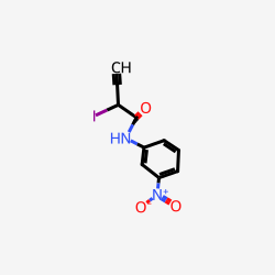 C#CC(I)C(=O)Nc1cccc([N+](=O)[O-])c1